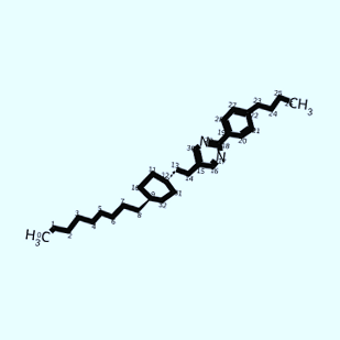 CCCCCCCCC[C@H]1CC[C@H](CCc2cnc(-c3ccc(CCCC)cc3)nc2)CC1